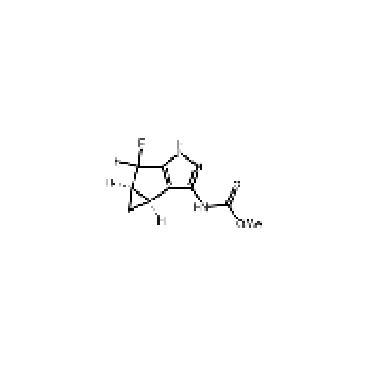 COC(=O)Nc1n[nH]c2c1[C@H]1C[C@H]1C2(F)F